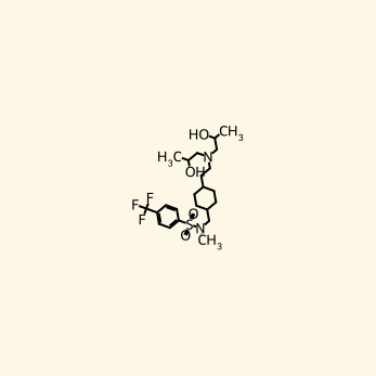 CC(O)CN(CCC1CCC(CN(C)S(=O)(=O)c2ccc(C(F)(F)F)cc2)CC1)CC(C)O